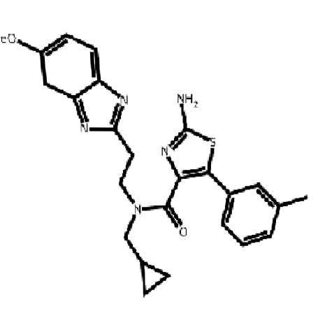 COC1=CC=C2N=C(CCN(CC3CC3)C(=O)c3nc(N)sc3-c3cccc(C)c3)N=C2C1